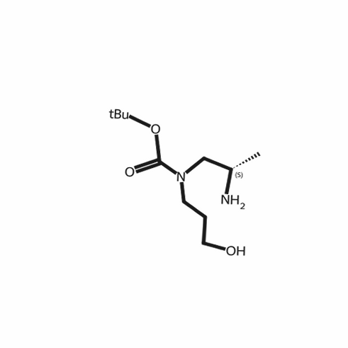 C[C@H](N)CN(CCCO)C(=O)OC(C)(C)C